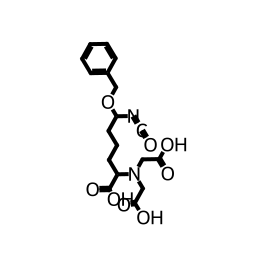 O=C=NC(CCCC(C(=O)O)N(CC(=O)O)CC(=O)O)OCc1ccccc1